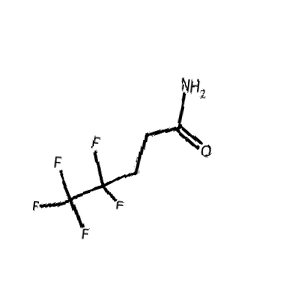 NC(=O)CCC(F)(F)C(F)(F)F